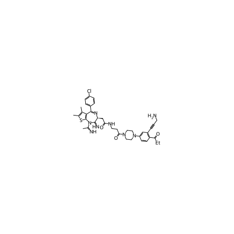 CCC(=O)c1ccc(N2CCN(C(=O)CCNC(=O)C[C@@H]3N=C(c4ccc(Cl)cc4)c4c(sc(C)c4C)N(C(C)=N)C3=N)CC2)cc1C#CCN